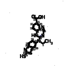 CCN(/C(=N/C#N)Nc1ccc(C(=O)O)cc1)c1ccc2nc(S)sc2c1